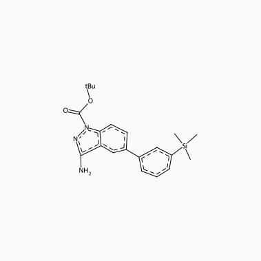 CC(C)(C)OC(=O)n1nc(N)c2cc(-c3cccc([Si](C)(C)C)c3)ccc21